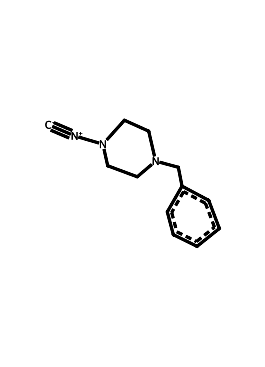 [C-]#[N+]N1CCN(Cc2ccccc2)CC1